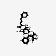 CCCCN1C(=O)C(CCCC2CCCCC2)NC(=O)C12CCN(C(c1ccccc1)c1c(C)n[nH]c1C)CC2